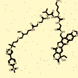 CC[C@@]1(O)C(=O)OCc2c1cc1n(c2=O)Cc2c-1nc1cc3c(cc1c2CNC(=O)CNC(=O)[C@H](CCCCN)NC(=O)[C@@H](NC(=O)COCC(=O)NCCC(COCCC(C)(C)n1cc(-c2cnc(S(C)(=O)=O)nc2)nn1)SC)C(C)C)OCO3